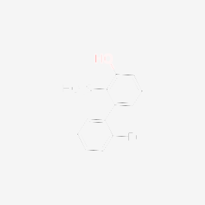 CCc1ccccc1-c1cccc(O)c1S(=O)(=O)O